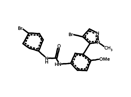 COc1ccc(NC(=O)Nc2ccc(Br)cc2)cc1-c1c(Br)cnn1C